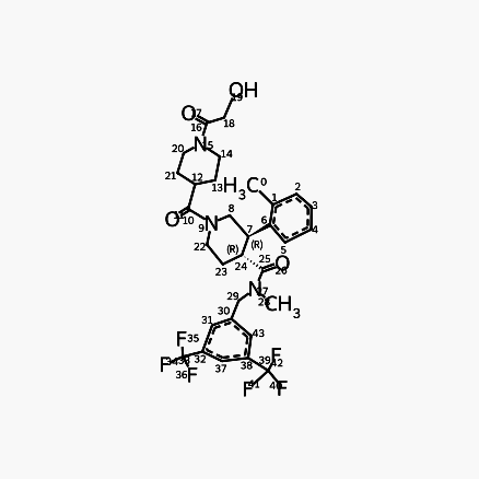 Cc1ccccc1[C@@H]1CN(C(=O)C2CCN(C(=O)CO)CC2)CC[C@H]1C(=O)N(C)Cc1cc(C(F)(F)F)cc(C(F)(F)F)c1